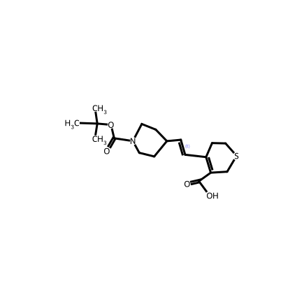 CC(C)(C)OC(=O)N1CCC(/C=C/C2=C(C(=O)O)CSCC2)CC1